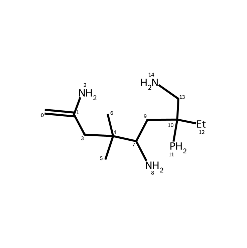 C=C(N)CC(C)(C)C(N)CC(P)(CC)CN